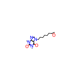 Cn1c(=O)c2c(ncn2CCCCCCC2CO2)n(C)c1=O